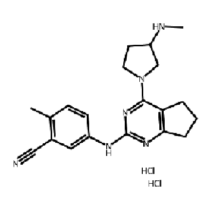 CNC1CCN(c2nc(Nc3ccc(C)c(C#N)c3)nc3c2CCC3)C1.Cl.Cl